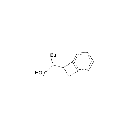 CCC(C)C(C(=O)O)C1Cc2ccccc21